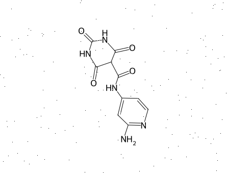 Nc1cc(NC(=O)C2C(=O)NC(=O)NC2=O)ccn1